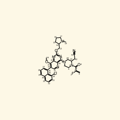 C=C(F)C(=O)N1CCN(c2nc(OCC3CCCN3C)nc3c(OC)c(-c4cccc5cccc(Cl)c45)cnc23)CC1CC#N